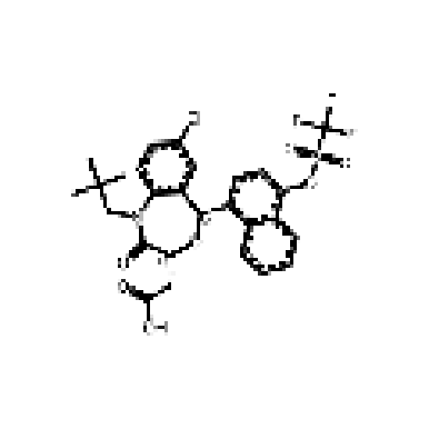 CC(C)(C)CN1C(=O)[C@@H](CC(=O)O)O[C@H](c2ccc(OS(=O)(=O)C(F)(F)F)c3ccccc23)c2cc(Cl)ccc21